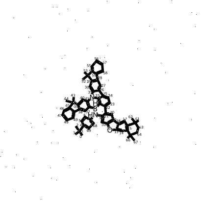 CC(C)(C)c1ccc(Nc2cc3oc4cc5c(cc4c3cc2-c2ccc3c4cc6c(cc4n4c3c2Bc2cc3c(cc2-4)C(C)(C)c2ccccc2-3)C(C)(C)c2ccccc2-6)C(C)(C)CCC5(C)C)cc1